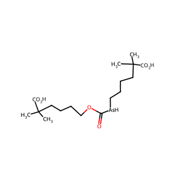 CC(C)(CCCCOC(=O)[AsH]CCCCC(C)(C)C(=O)O)C(=O)O